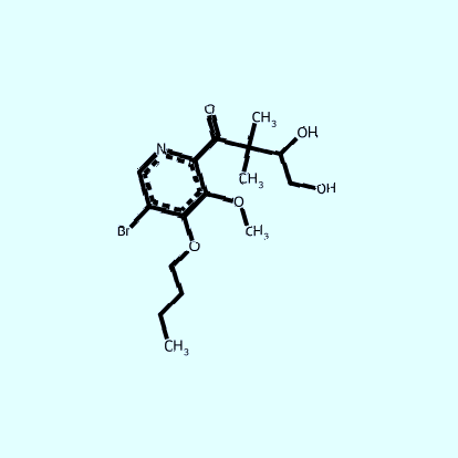 CCCCOc1c(Br)cnc(C(=O)C(C)(C)C(O)CO)c1OC